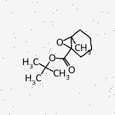 CC(C)(C)OC(=O)C12CCCCC1(C)O2